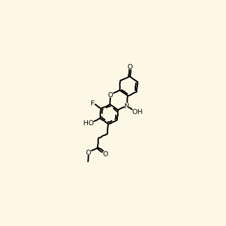 COC(=O)CCc1cc2c(c(F)c1O)OC1=C(C=CC(=O)C1)N2O